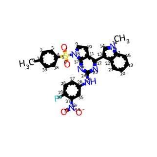 Cc1ccc(S(=O)(=O)n2ccc3c(-c4cn(C)c5ccccc45)nc(Nc4ccc(F)c([N+](=O)[O-])c4)nc32)cc1